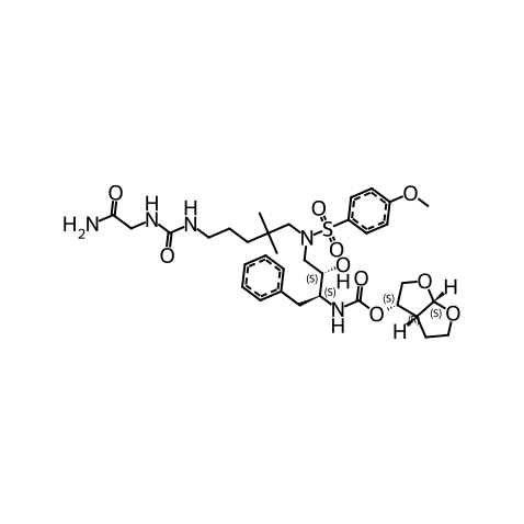 COc1ccc(S(=O)(=O)N(C[C@H](O)[C@H](Cc2ccccc2)NC(=O)O[C@@H]2CO[C@@H]3OCC[C@@H]32)CC(C)(C)CCCNC(=O)NCC(N)=O)cc1